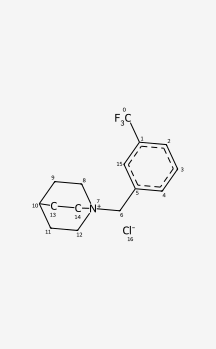 FC(F)(F)c1cccc(C[N+]23CCC(CC2)CC3)c1.[Cl-]